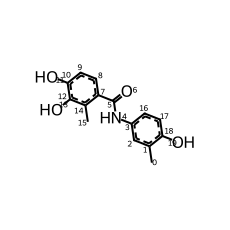 Cc1cc(NC(=O)c2ccc(O)c(O)c2C)ccc1O